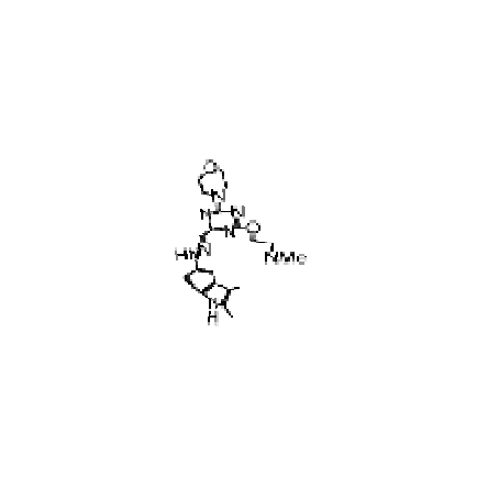 CNCCOc1nc(/C=N/Nc2ccc3[nH]c(C)c(C)c3c2)nc(N2CCOCC2)n1